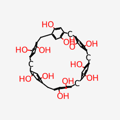 Oc1cc2c(O)cc1Cc1cc(O)c(cc1O)Cc1cc(O)c(cc1O)Cc1cc(O)c(cc1O)Cc1cc(O)c(cc1O)Cc1cc(O)c(cc1O)C2